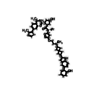 Cc1ncsc1-c1ccc([C@H](C)NC(=O)[C@@H]2C[C@@H](O)CN2C(=O)[C@@H](c2cc(OCCN(C)C3CC4(CC(c5cc6cc(-c7ccccc7O)nnc6[nH]5)C4)C3)no2)C(C)C)cc1